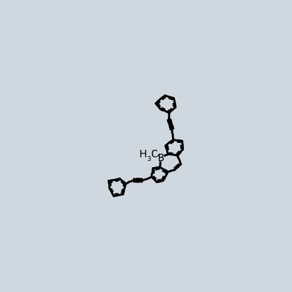 CB1c2cc(C#Cc3ccccc3)ccc2C=Cc2ccc(C#Cc3ccccc3)cc21